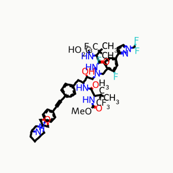 COC(=O)NC(C(=O)NC(Cc1ccc(C#Cc2ccc(N3CC4CCC(C3)N4C3COC3)cc2)cc1)C(O)CN(Cc1c(F)cc(-c2ccn(C(F)F)n2)cc1F)NC(=O)C(NC(=O)O)C(C)(C)C(F)(F)F)C(C)(C)C(F)(F)F